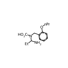 CCCOc1ccccc1CN(C(=O)O)C(N)CC